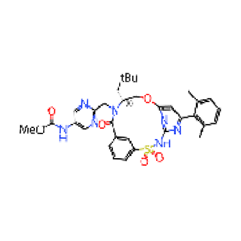 COC(=O)Nc1cnc(CN2C(=O)c3cccc(c3)S(=O)(=O)Nc3nc(cc(-c4c(C)cccc4C)n3)OC[C@H]2CC(C)(C)C)nc1